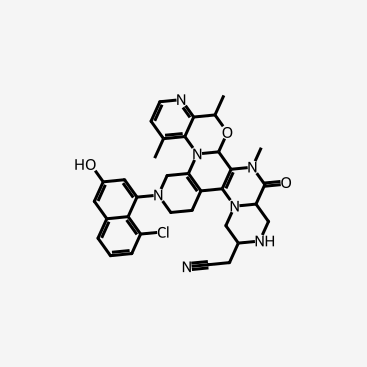 Cc1ccnc2c1N1C3=C(CCN(c4cc(O)cc5cccc(Cl)c45)C3)C3=C(C1OC2C)N(C)C(=O)C1CNC(CC#N)CN31